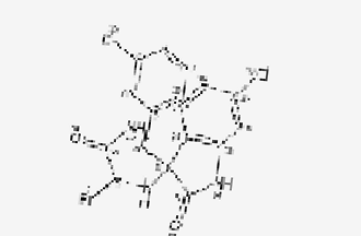 CC(C)C(NC1(Cc2cccc(Cl)c2)C(=O)Nc2cc(Cl)ccc21)C(N)=O